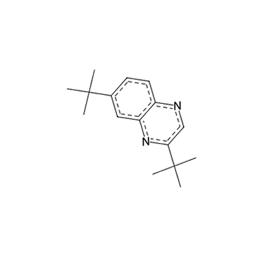 CC(C)(C)c1ccc2ncc(C(C)(C)C)nc2c1